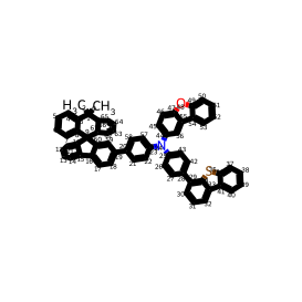 CC1(C)c2ccccc2C2(c3ccccc3-c3ccc(-c4ccc(N(c5ccc(-c6cccc7c6sc6ccccc67)cc5)c5ccc6oc7ccccc7c6c5)cc4)cc32)C2C=CC=CC21